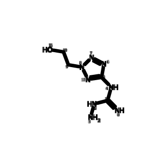 N=C(NN)Nc1nnn(CCO)n1